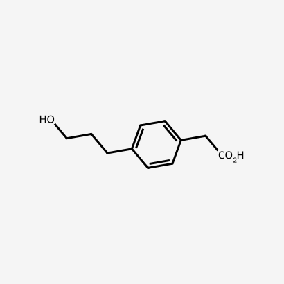 O=C(O)Cc1ccc(CCCO)cc1